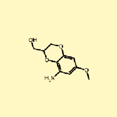 COc1cc(N)c2c(c1)OCC(CO)O2